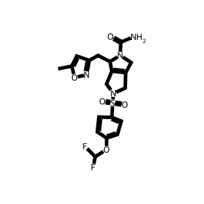 Cc1cc(CC2C3=C(CN2C(N)=O)CN(S(=O)(=O)c2ccc(OC(F)F)cc2)C3)no1